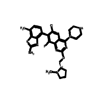 CN1CCC[C@H]1COc1nc(N2CCNCC2)c2cc(Cl)c(-c3ccc(C(F)(F)F)c4sc(N)nc34)c(F)c2n1